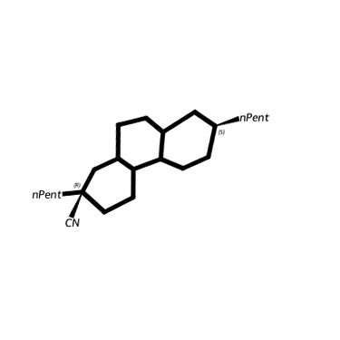 CCCCC[C@H]1CCC2C(CCC3C[C@@](C#N)(CCCCC)CCC32)C1